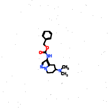 CN(C)C1CCn2ncc(NC(=O)OCc3ccccc3)c2C1